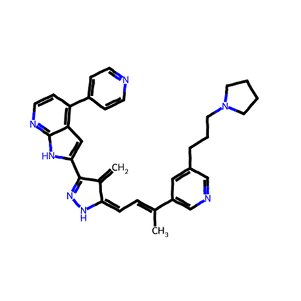 C=c1c(-c2cc3c(-c4ccncc4)ccnc3[nH]2)n[nH]/c1=C/C=C(\C)c1cncc(CCCN2CCCC2)c1